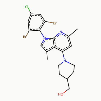 Cc1cc(N2CCC(CO)CC2)c2c(C)cn(-c3c(Br)cc(Cl)cc3Br)c2n1